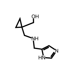 OCC1(CNCc2cnc[nH]2)CC1